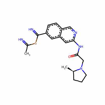 CC(=N)SC(=N)c1ccc2cnc(NC(=O)CN3CCC[C@H]3C)cc2c1